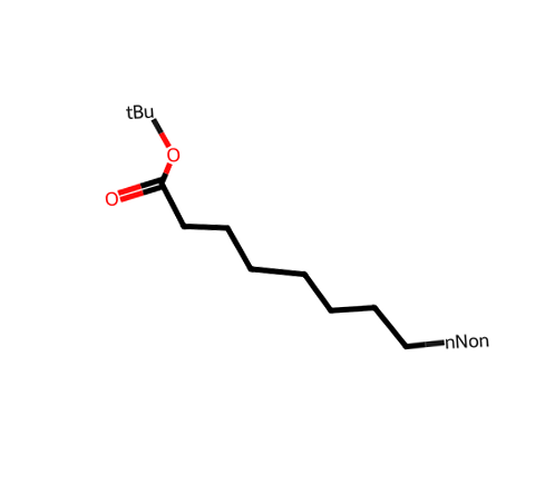 CCCCCCCCCCCCCCCCC(=O)OC(C)(C)C